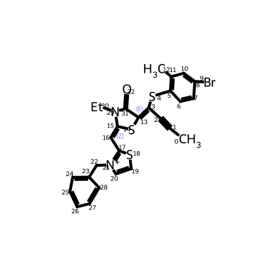 CC#C/C(Sc1ccc(Br)cc1C)=c1\s/c(=C\c2scc[n+]2Cc2ccccc2)n(CC)c1=O